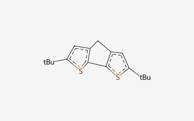 CC(C)(C)c1cc2c(s1)-c1sc(C(C)(C)C)cc1C2